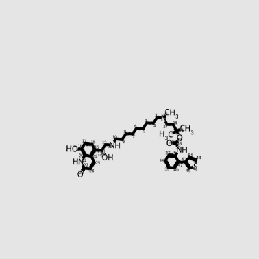 CN(CCCCCCCCCNC[C@H](O)c1ccc(O)c2[nH]c(=O)ccc12)CCC(C)(C)OC(=O)Nc1ccccc1-c1ccsc1